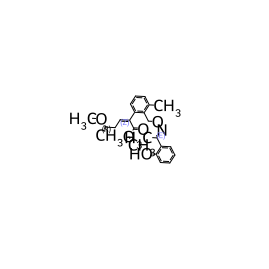 COC(=O)/C(=C\C[C@@H](C)OC)c1cccc(C)c1CO/N=C(\C)c1ccccc1O